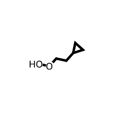 OOCCC1CC1